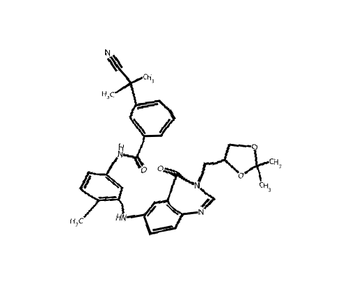 Cc1ccc(NC(=O)c2cccc(C(C)(C)C#N)c2)cc1Nc1ccc2ncn(CC3COC(C)(C)O3)c(=O)c2c1